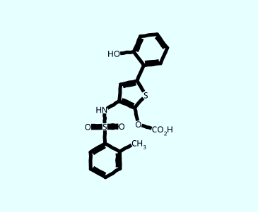 Cc1ccccc1S(=O)(=O)Nc1cc(-c2ccccc2O)sc1OC(=O)O